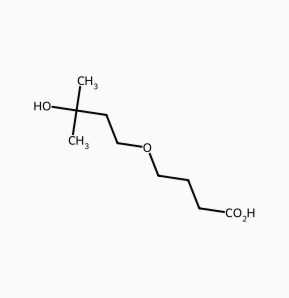 CC(C)(O)CCOCCCC(=O)O